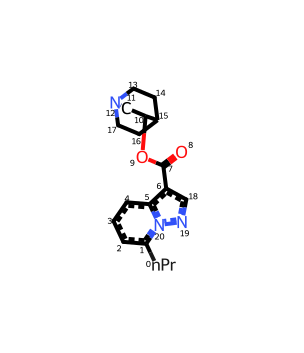 CCCc1cccc2c(C(=O)OC3CN4CCC3CC4)cnn12